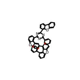 c1ccc(-c2nc(-c3cccc4c3oc3ccccc34)nc(-c3cccc4oc5ccc(-c6cccc7oc8cccc(-c9ccccc9)c8c67)cc5c34)n2)cc1